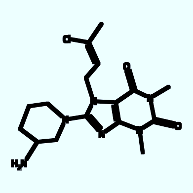 C/C(Cl)=C/Cn1c(N2CCCC(N)C2)nc2c1c(=O)n(C)c(=O)n2C